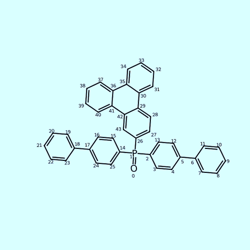 O=P(c1ccc(-c2ccccc2)cc1)(c1ccc(-c2ccccc2)cc1)c1ccc2c3ccccc3c3ccccc3c2c1